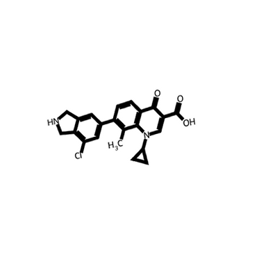 Cc1c(-c2cc(Cl)c3c(c2)CNC3)ccc2c(=O)c(C(=O)O)cn(C3CC3)c12